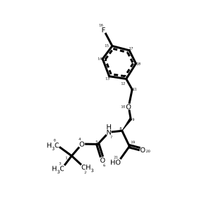 CC(C)(C)OC(=O)N[C@@H](COCc1ccc(F)cc1)C(=O)O